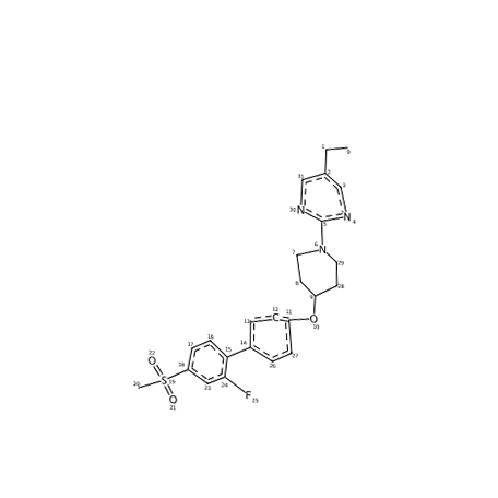 CCc1cnc(N2CCC(Oc3ccc(-c4ccc(S(C)(=O)=O)cc4F)cc3)CC2)nc1